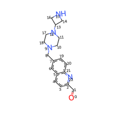 O=Cc1ccc2cc(CN3CCN(C4CNC4)CC3)ccc2n1